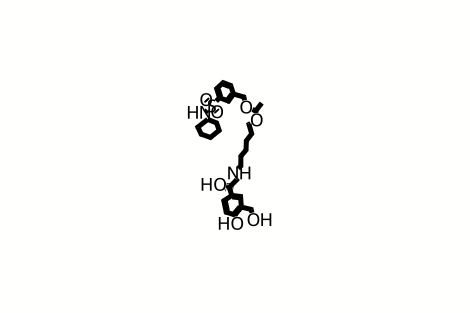 CC(OCCCCCCNC[C@H](O)c1ccc(O)c(CO)c1)OCc1cccc(S(=O)(=O)NC2CCCCC2)c1